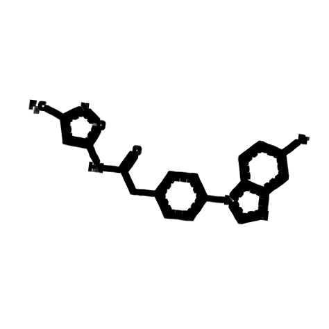 O=C(Cc1ccc(-n2cnc3cc(Br)ccc32)cc1)Nc1cc(C(F)(F)F)no1